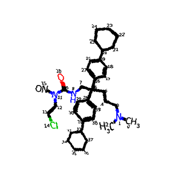 CN(C)CCCC(CNC(=O)N(CCCl)N=O)(c1ccc(C2CCCCC2)cc1)c1ccc(C2CCCCC2)cc1